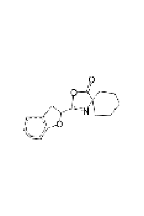 O=C1OC(C2Cc3ccccc3O2)=NC12CCCCC2